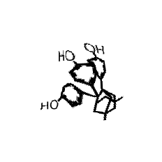 CC12CC3CC(C)(C1)CC(c1ccc(O)cc1)(C2)C3(c1ccc(O)cc1)c1ccc(O)cc1